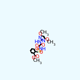 COC(=O)c1ccccc1CS(=O)(=O)NC(=O)C(=O)Nc1nc(OC)cc(OC)n1